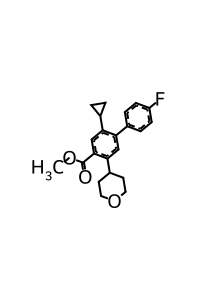 COC(=O)c1cc(C2CC2)c(-c2ccc(F)cc2)cc1C1CCOCC1